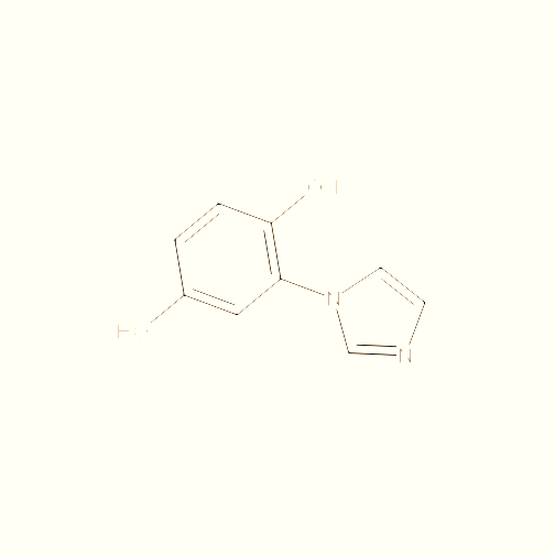 Oc1ccc(O)c(-n2ccnc2)c1